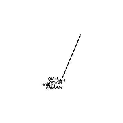 CC#CC#CC#CC#CC#CC#CC#CC#CC#CC#CNC(=S)N[C@@H]1C[C@H](COC)[C@H](OP(=O)(O)OC)C1OC